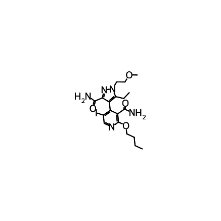 CCCCOc1ncc(I)c(-c2c(C(N)=O)nn(CCOC)c2CC)c1C(N)=O